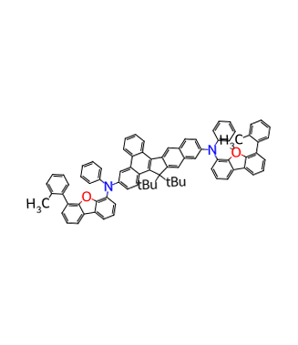 Cc1ccccc1-c1cccc2c1oc1c(N(c3ccccc3)c3ccc4cc5c(cc4c3)C(C(C)(C)C)(C(C)(C)C)c3c-5c4ccccc4c4cc(N(c5ccccc5)c5cccc6c5oc5c(-c7ccccc7C)cccc56)ccc34)cccc12